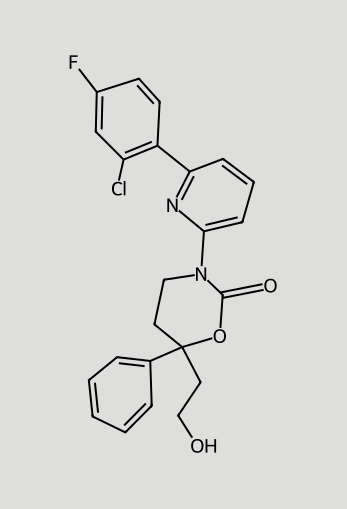 O=C1OC(CCO)(c2ccccc2)CCN1c1cccc(-c2ccc(F)cc2Cl)n1